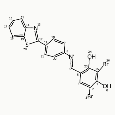 Oc1c(Br)cc(C=Nc2ccc(-c3nc4ccccc4s3)cc2)c(O)c1Br